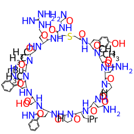 CCCC[C@H]1C(=O)N(C)[C@@H](C)C(=O)N[C@@H](CCCNC(=N)N)C(=O)NC(C(=O)NCC(N)=O)CSCC(=O)N[C@@H](Cc2ccc(O)cc2)C(=O)N(C)[C@@H](C)C(=O)N[C@@H](CC(N)=O)C(=O)N2CCC[C@H]2C(=O)N[C@@H](CC(N)=O)C(=O)N[C@@H](CC(C)C)C(=O)N2CCC[C@H]2C(=O)N[C@@H](Cc2c[nH]c3ccccc23)C(=O)N[C@@H](CO)C(=O)N[C@@H](Cc2c[nH]c3ccccc23)C(=O)N1C